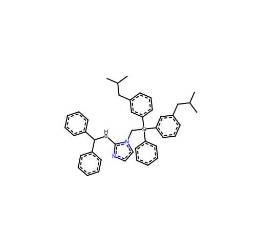 CC(C)Cc1cccc([Si](Cn2ccnc2BC(c2ccccc2)c2ccccc2)(c2ccccc2)c2cccc(CC(C)C)c2)c1